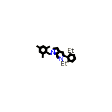 CCc1cccc(CC)c1-c1cc2ccn(Cc3c(C)cc(C)cc3C)c2cn1